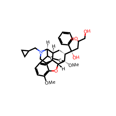 COc1ccc2c3c1O[C@H]1[C@@]4(OC)CCC2[C@@H]2[C@@H](C[C@@H]4[C@](O)(CC(O)CO)c4ccccc4)[C@@]31CCN2CC1CC1